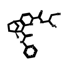 CC(CO)NC(=O)C1C=CC2=C(N1)N(C(=O)Nc1ccccn1)[C@H]1CCN2C1